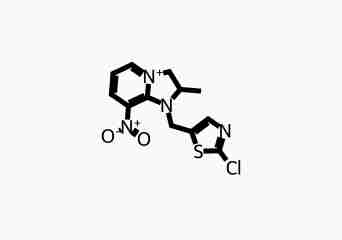 CC1C[n+]2cccc([N+](=O)[O-])c2N1Cc1cnc(Cl)s1